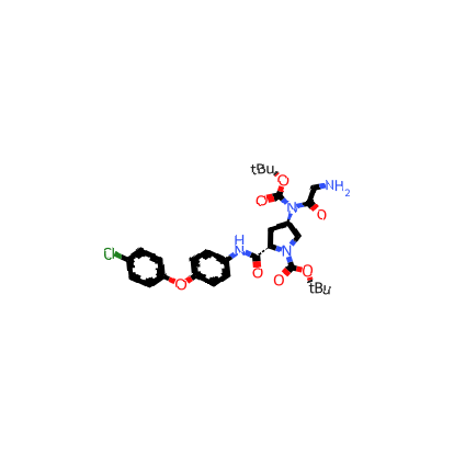 CC(C)(C)OC(=O)N1C[C@H](N(C(=O)CN)C(=O)OC(C)(C)C)C[C@H]1C(=O)Nc1ccc(Oc2ccc(Cl)cc2)cc1